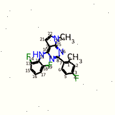 Cc1cc(F)ccc1-c1nc(Nc2c(F)cccc2F)c2ccn(C)c2n1